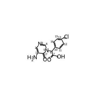 Nc1cncn(C(C(=O)O)c2ccc(Cl)cc2)c1=O